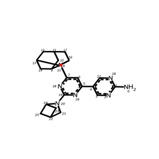 Nc1ncc(-c2cc(N3C4CC5CC(C4)CC3C5)nc(N3CC4CC3C4)n2)cn1